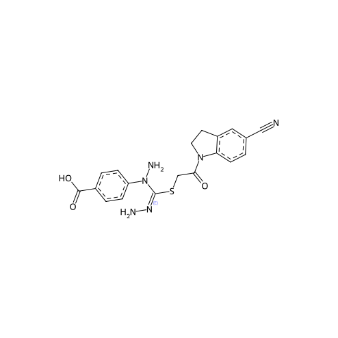 N#Cc1ccc2c(c1)CCN2C(=O)CS/C(=N/N)N(N)c1ccc(C(=O)O)cc1